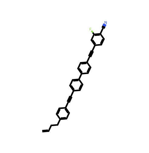 C=CCCc1ccc(C#Cc2ccc(-c3ccc(C#Cc4ccc(C#N)c(F)c4)cc3)cc2)cc1